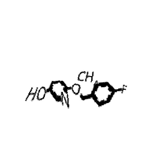 C.Oc1ccc(OCc2ccc(F)cc2)nc1